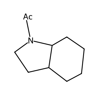 CC(=O)N1CCC2CCCCC21